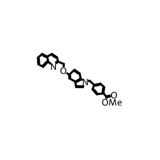 COC(=O)c1ccc(Cn2ccc3cc(OCc4ccc5ccccc5n4)ccc32)cc1